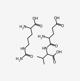 CC(C)C(NC(=O)C(N)CCC(=O)O)C(=O)O.NC(=O)NCCCC(N)C(=O)O